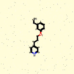 CC(C)Cc1cccc(OCCCc2ccncc2)c1